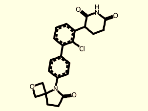 O=C1CCC(c2cccc(-c3ccc(N4C(=O)CCC45COC5)cc3)c2Cl)C(=O)N1